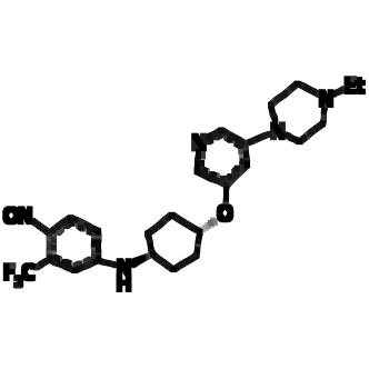 CCN1CCN(c2cncc(O[C@H]3CC[C@H](Nc4ccc(N=O)c(C(F)(F)F)c4)CC3)c2)CC1